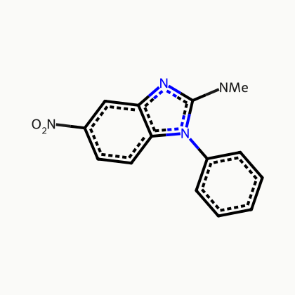 CNc1nc2cc([N+](=O)[O-])ccc2n1-c1ccccc1